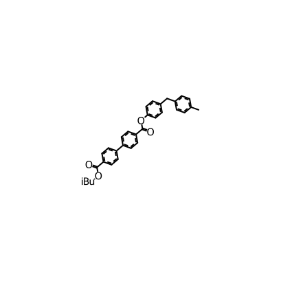 CCC(C)OC(=O)c1ccc(-c2ccc(C(=O)Oc3ccc(Cc4ccc(C)cc4)cc3)cc2)cc1